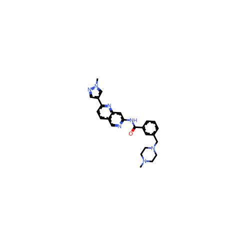 CN1CCN(Cc2cccc(C(=O)Nc3cc4nc(-c5cnn(C)c5)ccc4cn3)c2)CC1